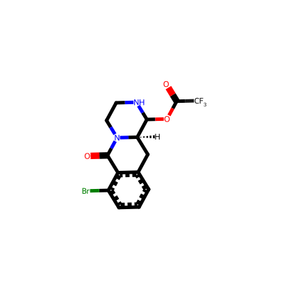 O=C1c2c(Br)cccc2C[C@@H]2C(OC(=O)C(F)(F)F)NCCN12